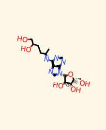 C/C(CCC(O)CO)=N\c1ncnc2c1ncn2[C@@H]1O[C@H](CO)[C@@H](O)[C@H]1O